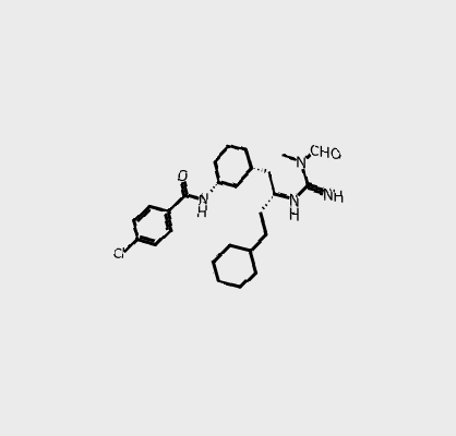 CN(C=O)C(=N)N[C@H](CCC1CCCCC1)C[C@H]1CCC[C@@H](NC(=O)c2ccc(Cl)cc2)C1